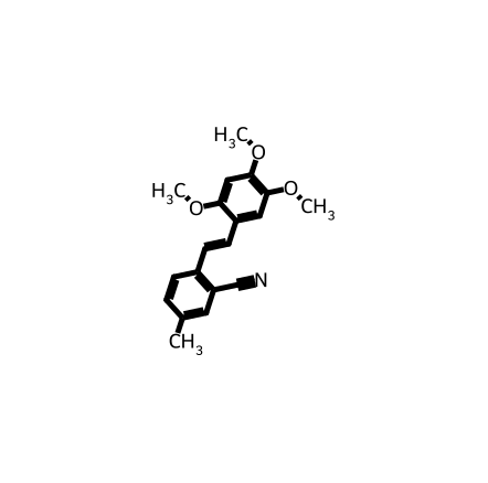 COc1cc(OC)c(OC)cc1C=Cc1ccc(C)cc1C#N